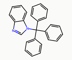 [c]1ccc2c(c1)ncn2C(c1ccccc1)(c1ccccc1)c1ccccc1